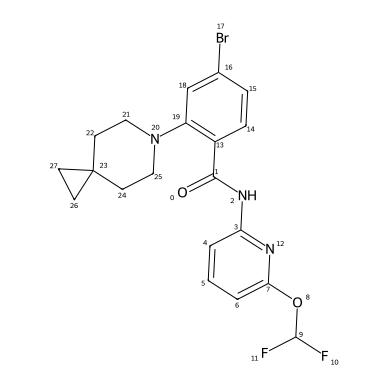 O=C(Nc1cccc(OC(F)F)n1)c1ccc(Br)cc1N1CCC2(CC1)CC2